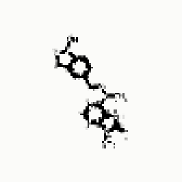 CN(/N=C/c1ccc2c(c1)COB2O)c1ncnc2c1[nH]c(=O)n2C